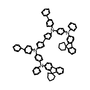 c1ccc(-c2ccc(N(c3ccc(-c4ccc(N(c5ccc(-c6ccccc6)cc5)c5ccc(N(c6ccccc6)c6ccc7c(c6)C6(CCCCC6)c6ccccc6-7)cc5)cc4)cc3)c3ccc(N(c4ccccc4)c4ccc5c(c4)C4(CCCCC4)c4ccccc4-5)cc3)cc2)cc1